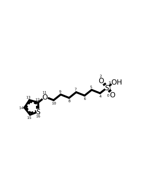 O=S(=O)(O)CCCCCCCOc1cccs1